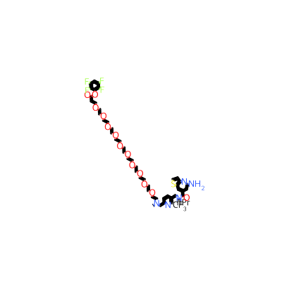 CCCN(Cc1ccc(CN(C)CCOCCOCCOCCOCCOCCOCCOCCOCCOCCOCCC(=O)Oc2c(F)c(F)cc(F)c2F)nc1C(F)(F)F)C(=O)C1=Cc2sccc2N=C(N)C1